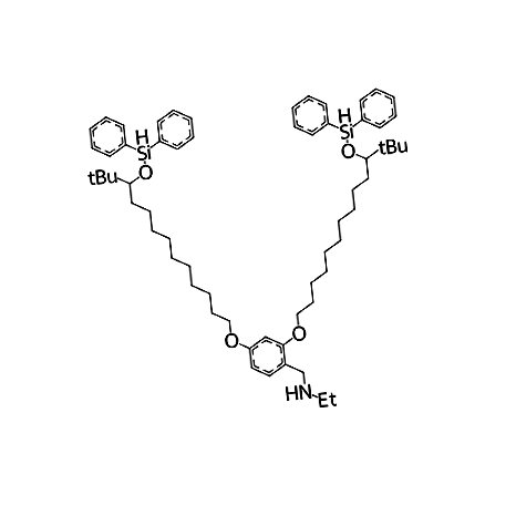 CCNCc1ccc(OCCCCCCCCCCC(O[SiH](c2ccccc2)c2ccccc2)C(C)(C)C)cc1OCCCCCCCCCCC(O[SiH](c1ccccc1)c1ccccc1)C(C)(C)C